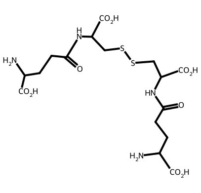 NC(CCC(=O)NC(CSSCC(NC(=O)CCC(N)C(=O)O)C(=O)O)C(=O)O)C(=O)O